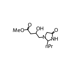 CCCC1NC(=O)CN1CC(O)CC(=O)OC